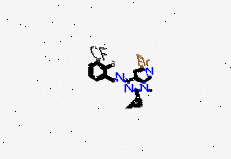 Cc1c(C/N=c2\nc(C3CC3)n(C)c3cnc(Br)cc23)cccc1C(F)(F)F